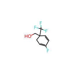 OCC1(C(F)(F)F)C=CC(F)=CC1